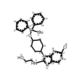 CC(C)(C)[Si](OC1CCC(n2c(NCCO)nc3cnc(Cl)nc32)CC1)(c1ccccc1)c1ccccc1